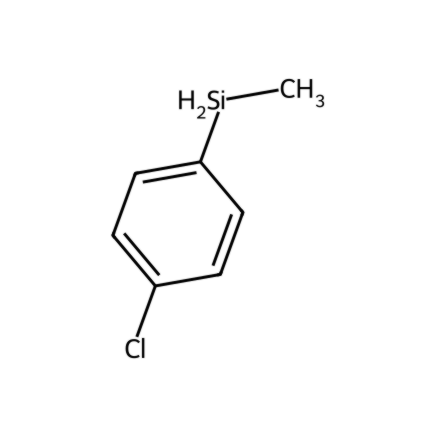 C[SiH2]c1ccc(Cl)cc1